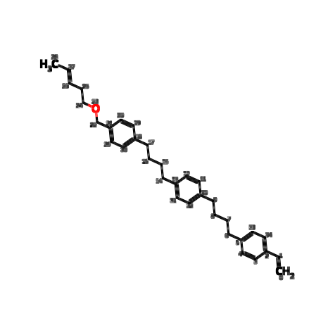 C=Cc1ccc(CCCCc2ccc(CCCCc3ccc(COCCC=CC)cc3)cc2)cc1